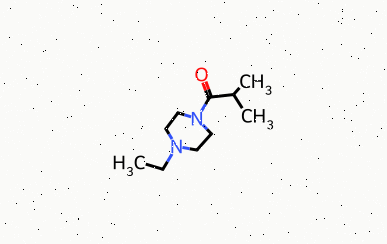 CCN1CCN(C(=O)C(C)C)CC1